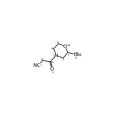 CC(C)(C)C1CN(C(=O)CC#N)CCO1